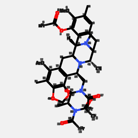 CCCC(=O)Oc1c(OC)c(C)cc2c1[C@H]1C3Cc4c(OC(C)=O)c(C)c5c(c4[C@H](CN(C(=O)CCC)C(=O)[C@H](C)N(C(=O)CCC)C(=O)C(F)(F)F)N3[C@@H](C#N)C(C2)N1C)OCO5